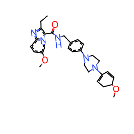 CCc1nc2ccc(OC)cn2c1C(=O)NCc1ccc(N2CCN(C3=CCC(OC)C=C3)CC2)cc1